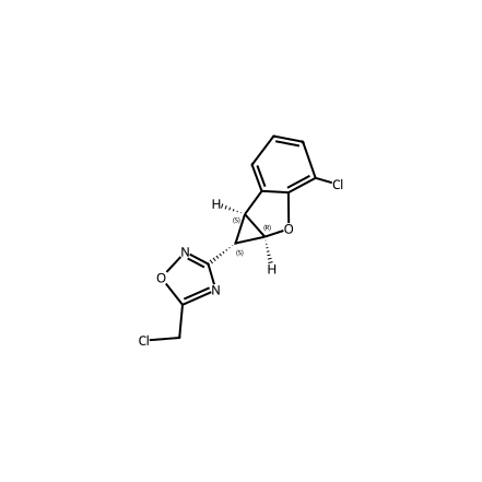 ClCc1nc([C@H]2[C@@H]3Oc4c(Cl)cccc4[C@@H]32)no1